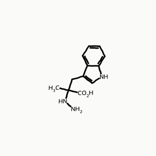 CC(Cc1c[nH]c2ccccc12)(NN)C(=O)O